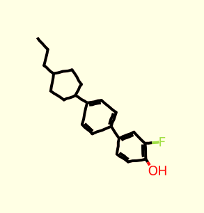 CCCC1CCC(c2ccc(-c3ccc(O)c(F)c3)cc2)CC1